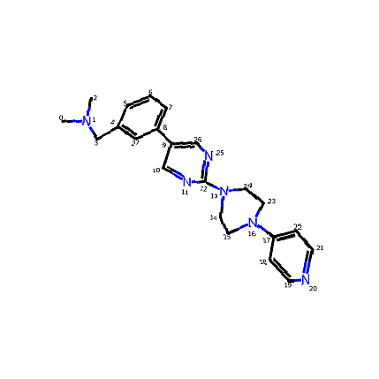 CN(C)Cc1cccc(-c2cnc(N3CCN(c4ccncc4)CC3)nc2)c1